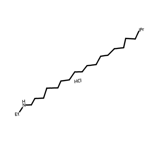 CCNCCCCCCCCCCCCCCCCCC(C)C.Cl